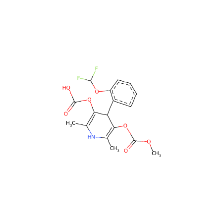 COC(=O)OC1=C(C)NC(C)=C(OC(=O)O)C1c1ccccc1OC(F)F